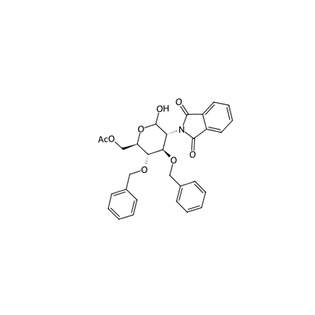 CC(=O)OC[C@H]1OC(O)[C@H](N2C(=O)c3ccccc3C2=O)[C@@H](OCc2ccccc2)[C@@H]1OCc1ccccc1